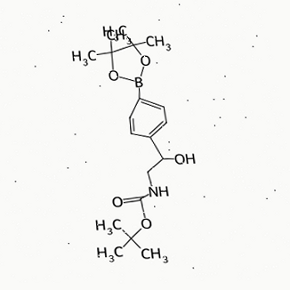 CC(C)(C)OC(=O)NCC(O)c1ccc(B2OC(C)(C)C(C)(C)O2)cc1